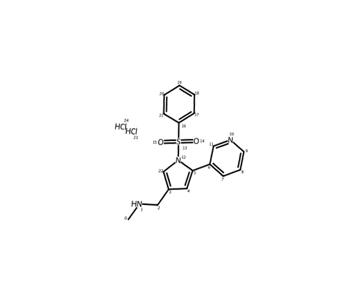 CNCc1cc(-c2cccnc2)n(S(=O)(=O)c2ccccc2)c1.Cl.Cl